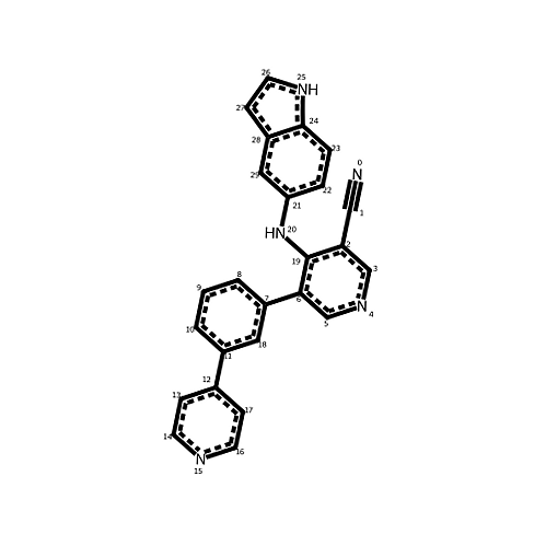 N#Cc1cncc(-c2cccc(-c3ccncc3)c2)c1Nc1ccc2[nH]ccc2c1